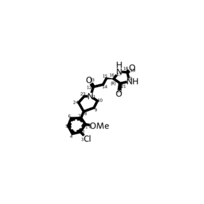 COc1c(Cl)cccc1C1CCN(C(=O)CC[C@H]2NC(=O)NC2=O)CC1